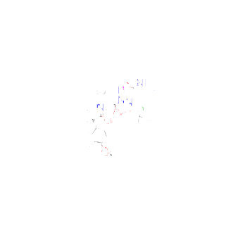 C[C@H](Cl)C(=O)N(CC(N)=O)NC(=O)[C@@H]1CCCN1C(=O)C1(c2ccc(OC(F)(F)F)cc2)CC1